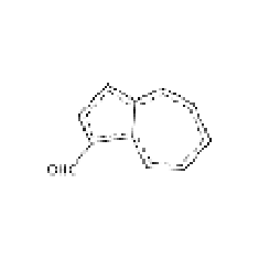 O=Cc1ccc2cccccc1-2